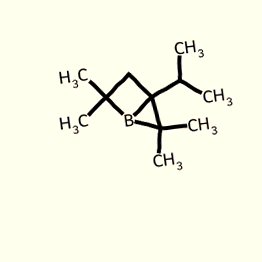 CC(C)C12CC(C)(C)B1C2(C)C